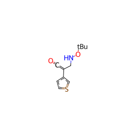 CC(C)(C)ONCC(=C=O)c1ccsc1